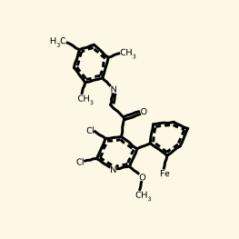 COc1nc(Cl)c(Cl)c(C(=O)C=Nc2c(C)cc(C)cc2C)c1-c1cccc[c]1[Fe]